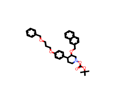 CC(C)(C)OC(=O)ON1CCC(c2ccc(OCCCOCc3ccccc3)cc2)C(OCc2ccc3ccccc3c2)C1